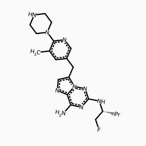 CCC[C@H](CF)Nc1nc(N)c2ncc(Cc3cnc(N4CCNCC4)c(C)c3)n2n1